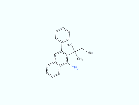 CC(C)(C)CC(C)(C)c1c(-c2ccccc2)cc2ccccc2c1N